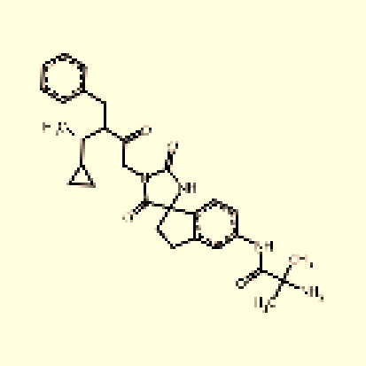 C[C@@H](C1CC1)C(Cc1ccccc1)C(=O)CN1C(=O)NC2(CCc3cc(NC(=O)C(C)(C)N)ccc32)C1=O